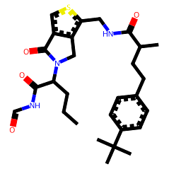 CCCC(C(=O)NC=O)N1Cc2c(csc2CNC(=O)C(C)CCc2ccc(C(C)(C)C)cc2)C1=O